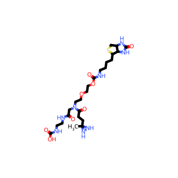 CC1(CCC(=O)N(CCOCCOC(=O)NCCCCC2SCC3NC(=O)NC32)CC(=O)NCCNC(=O)O)NN1